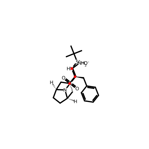 CC(C)(C)[S@+]([O-])N[C@@H](Cc1ccccc1)[C@@H]1C[C@H]2CC[C@@H](C1)N2S(=O)(=O)CCN